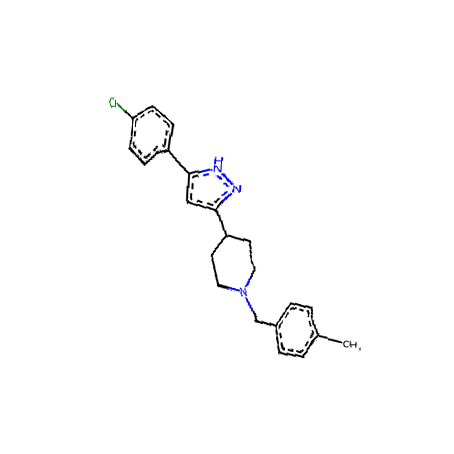 Cc1ccc(CN2CCC(c3cc(-c4ccc(Cl)cc4)[nH]n3)CC2)cc1